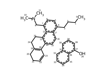 CCCCc1ccc(CN(C)C)c2c3c(ccc12)C1=C(CCC=C1)CC3.Oc1cccc2ccccc12